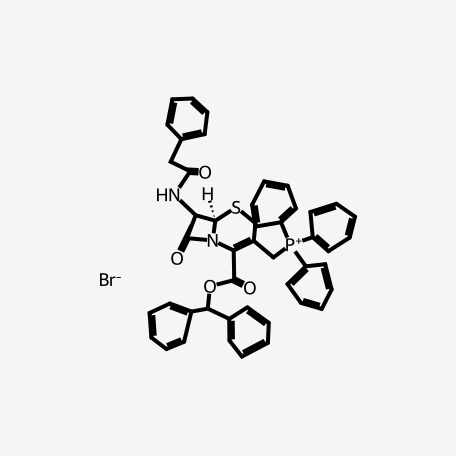 O=C(Cc1ccccc1)NC1C(=O)N2C(C(=O)OC(c3ccccc3)c3ccccc3)=C(C[P+](c3ccccc3)(c3ccccc3)c3ccccc3)CS[C@H]12.[Br-]